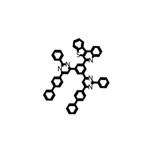 c1ccc(-c2ccc(-c3cc(-c4cc(-c5cc(-c6ccc(-c7ccccc7)cc6)nc(-c6ccccc6)n5)cc(-c5nc6ccccc6c6c5sc5ccccc56)c4)nc(-c4ccccc4)n3)cc2)cc1